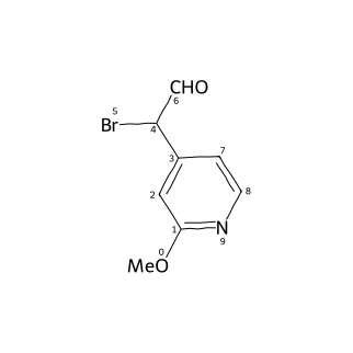 COc1cc(C(Br)C=O)ccn1